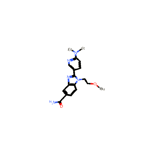 CCN(CC)c1ccc(-c2nc3cc(C(N)=O)ccc3n2CCOC(C)(C)C)cn1